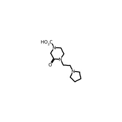 O=C(O)N1CCN(CCN2CCCC2)C(=O)C1